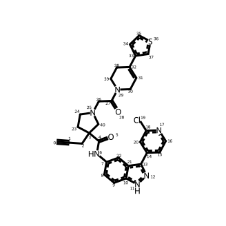 C#CCC1(C(=O)Nc2ccc3[nH]nc(-c4ccnc(Cl)c4)c3c2)CCN(CC(=O)N2CC=C(c3ccsc3)CC2)C1